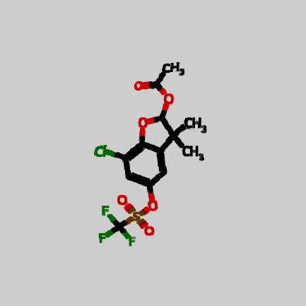 CC(=O)OC1Oc2c(Cl)cc(OS(=O)(=O)C(F)(F)F)cc2C1(C)C